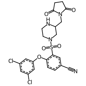 N#Cc1ccc(Oc2cc(Cl)cc(Cl)c2)c(S(=O)(=O)N2CCNC(CN3C(=O)CCC3=O)C2)c1